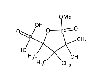 COP1(=O)OC(C)(P(=O)(O)O)C(C)(C)C1(C)O